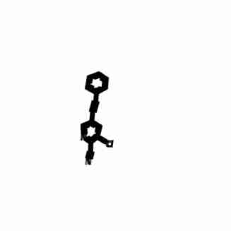 N#Cc1ncc(C#Cc2ccccc2)cc1Cl